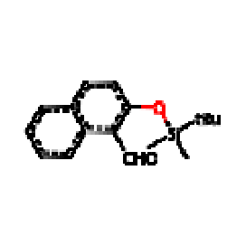 CC(C)(C)[Si](C)(C)Oc1ccc2ccccc2c1C=O